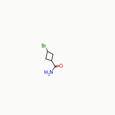 NC(=O)C1CC(Br)C1